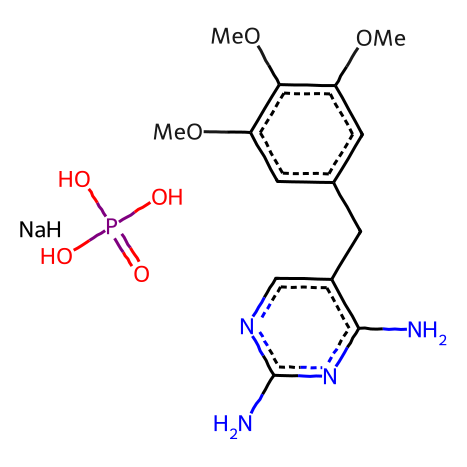 COc1cc(Cc2cnc(N)nc2N)cc(OC)c1OC.O=P(O)(O)O.[NaH]